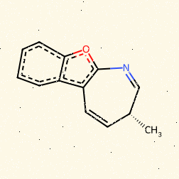 C[C@@H]1C=Cc2c(oc3ccccc23)N=C1